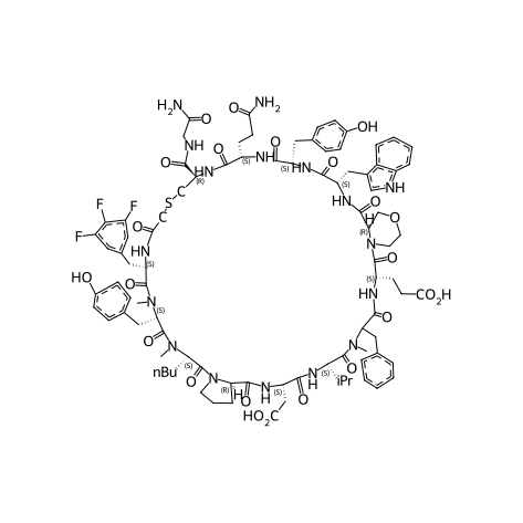 CCCC[C@H]1C(=O)N2CCC[C@@H]2C(=O)N[C@@H](CC(=O)O)C(=O)N[C@@H](C(C)C)C(=O)N(C)C(Cc2ccccc2)C(=O)N[C@@H](CCC(=O)O)C(=O)N2CCOC[C@@H]2C(=O)N[C@@H](Cc2c[nH]c3ccccc23)C(=O)N[C@@H](Cc2ccc(O)cc2)C(=O)N[C@@H](CCC(N)=O)C(=O)N[C@H](C(=O)NCC(N)=O)CSCC(=O)N[C@@H](Cc2cc(F)c(F)c(F)c2)C(=O)N(C)[C@@H](Cc2ccc(O)cc2)C(=O)N1C